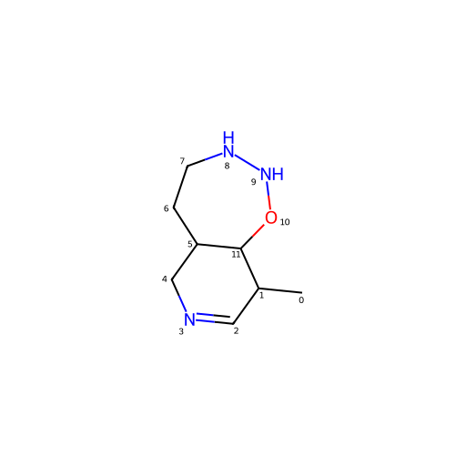 CC1C=NCC2CCNNOC12